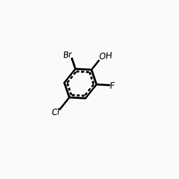 Oc1c(F)cc(Cl)cc1Br